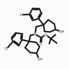 CC(C)(C)OC(=O)N(CC1(c2cccc(Cl)c2)CCC(O)CC1)CC1(c2cccc(Cl)c2)CCC(O)CC1